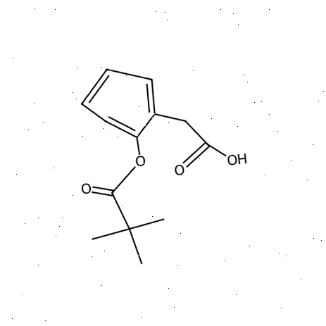 CC(C)(C)C(=O)Oc1ccccc1CC(=O)O